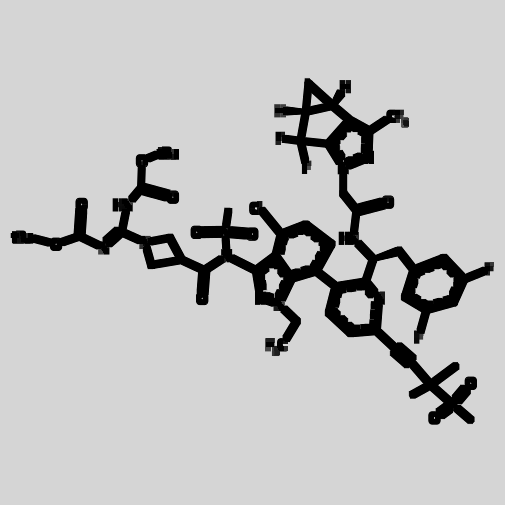 CC(C)(C)OC(=O)/N=C(\NC(=O)OC(C)(C)C)N1CC(C(=O)N(c2nn(CC(F)(F)F)c3c(-c4ccc(C#CC(C)(C)S(C)(=O)=O)nc4[C@H](Cc4cc(F)cc(F)c4)NC(=O)Cn4nc(C(F)(F)F)c5c4C(F)(F)[C@@H]4C[C@H]54)ccc(Cl)c23)S(C)(=O)=O)C1